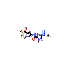 Cn1cc(NC(=O)c2nc(NC(C)(C)C)cn2C)cc1C(=O)[SH](C)C